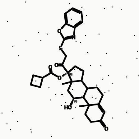 CC12CCC(=O)C=C1CCC1C2[C@@H](O)CC2(C)C1CC[C@]2(OC(=O)C1CCC1)C(=O)CSc1nc2ccccc2o1